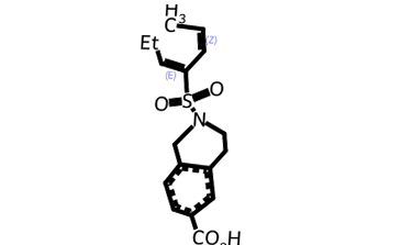 C/C=C\C(=C/CC)S(=O)(=O)N1CCc2cc(C(=O)O)ccc2C1